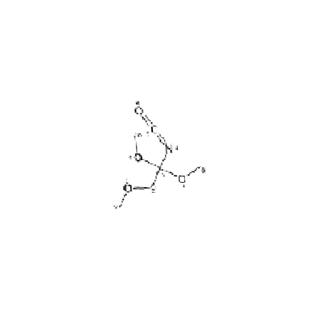 CO[CH]C(N=C=O)(OC)OC